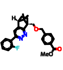 COC(=O)c1ccc(COC[C@]23CC[C@H](c4cc(-c5ccccc5F)nnc42)C3(C)C)cc1